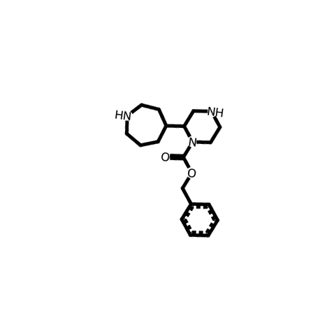 O=C(OCc1ccccc1)N1CCNCC1C1CCCNCC1